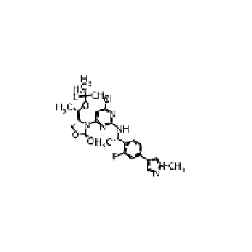 C[C@H](Nc1nc(Cl)cc(N2C(=O)OC[C@@H]2[C@@H](C)OC(C)(C)C)n1)c1ccc(-c2cnn(C)c2)cc1F